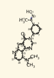 C/C(=N\O)c1cccc(-n2cnc3c(sc4nccc(N(C)C)c43)c2=O)c1